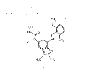 CCc1cccc(C)c1CNc1cc(OC(=O)NO)cn2c(C)c(C)nc12